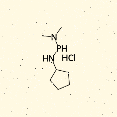 CN(C)PNC1CCCC1.Cl